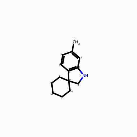 Cc1ccc2c(c1)NCC21CCCCC1